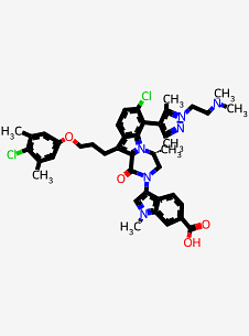 Cc1cc(OCCCc2c3n(c4c(-c5c(C)nn(CCN(C)C)c5C)c(Cl)ccc24)[C@H](C)CN(c2cn(C)c4cc(C(=O)O)ccc24)C3=O)cc(C)c1Cl